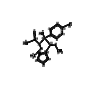 CCC(C(=O)O)C(O)(c1ccc(Cl)cc1)C(CC)n1cncn1